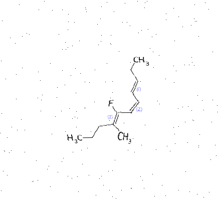 CC/C=C/C=C\C(F)=C(/C)CCC